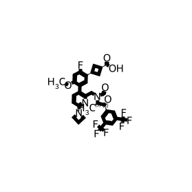 COc1cc(F)c([C@H]2C[C@@H](C(=O)O)C2)cc1-c1ccc(N2CCC2)nc1CN1C(=O)O[C@H](c2cc(C(F)(F)F)cc(C(F)(F)F)c2)[C@@H]1C